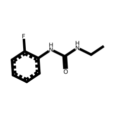 CCNC(=O)Nc1ccccc1F